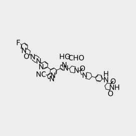 N#Cc1cnn2cc(-c3cnn(C4CCN(C(=O)CN5CCC(c6ccc(NC7CCC(=O)NC7=O)cc6)CC5)CC4)c3)cc(-c3ccc(N4CCN(C(=O)Cc5ccc(F)cn5)CC4)nc3)c12.O=CO